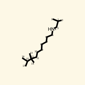 CC(C)CNCCCCCCCC(C)(C)C(C)C